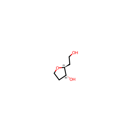 OCC[C@@H]1OCC[C@H]1O